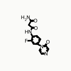 NC(=O)CC(=O)Nc1ccc(-n2ccncc2=O)cc1F